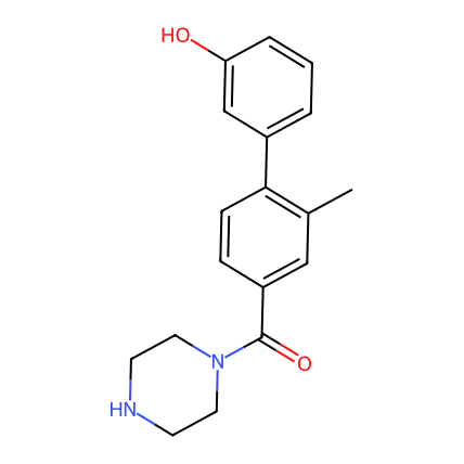 Cc1cc(C(=O)N2CCNCC2)ccc1-c1cccc(O)c1